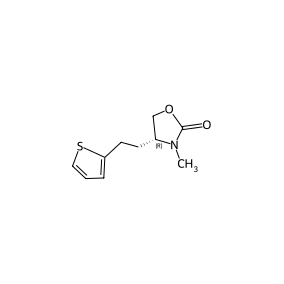 CN1C(=O)OC[C@H]1CCc1cccs1